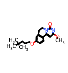 COc1cc2n(c(=O)n1)CCc1cc(OCCCC(C)(C)C)ccc1-2